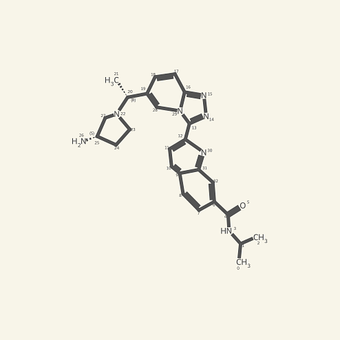 CC(C)NC(=O)c1ccc2ccc(-c3nnc4ccc([C@@H](C)N5CC[C@H](N)C5)cn34)nc2c1